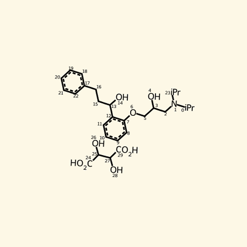 CC(C)N(CC(O)COc1ccccc1C(O)CCc1ccccc1)C(C)C.O=C(O)C(O)C(O)C(=O)O